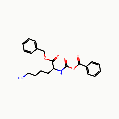 NCCCC[C@H](NC(=O)OC(=O)c1ccccc1)C(=O)OCc1ccccc1